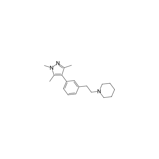 Cc1nn(C)c(C)c1-c1cccc(CCN2CCCCC2)c1